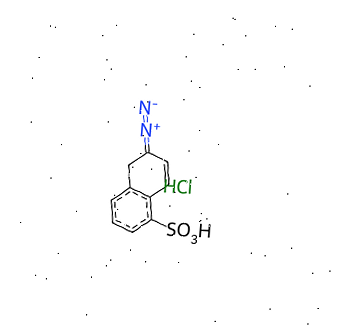 Cl.[N-]=[N+]=C1C=Cc2c(cccc2S(=O)(=O)O)C1